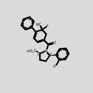 N#CC1(F)CC(C(=O)N2[C@@H](c3ccccc3Cl)CC[C@H]2C(=O)O)=CC=C1c1ccccc1